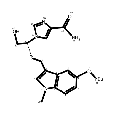 CCCCOc1ccc2c(c1)c(CC[C@H](CO)n1cnc(C(N)=O)c1)cn2C